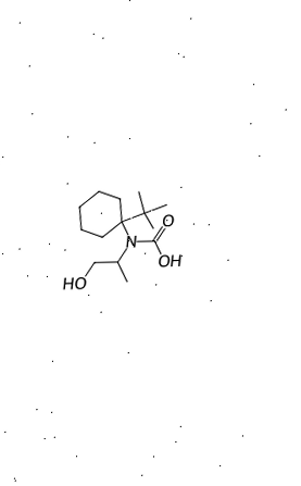 CC(CO)N(C(=O)O)C1(C(C)(C)C)CCCCC1